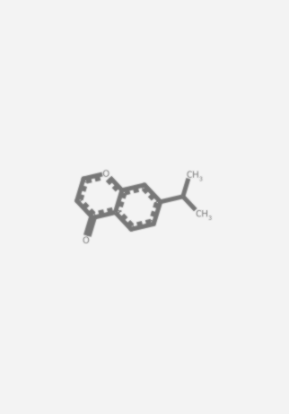 CC(C)c1ccc2c(=O)ccoc2c1